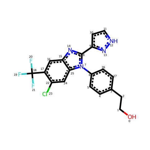 OCCc1ccc(-n2c(-c3cc[nH]n3)nc3cc(C(F)(F)F)c(Cl)cc32)cc1